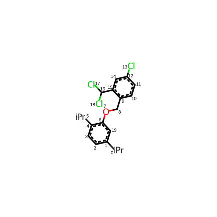 CC(C)c1ccc(C(C)C)c(OCc2ccc(Cl)cc2C(Cl)Cl)c1